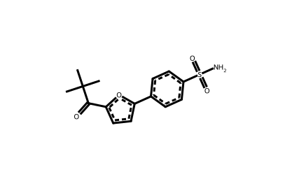 CC(C)(C)C(=O)c1ccc(-c2ccc(S(N)(=O)=O)cc2)o1